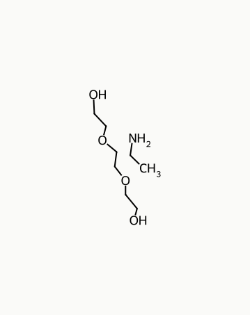 CCN.OCCOCCOCCO